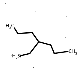 CCCC(C[SiH2])CCC